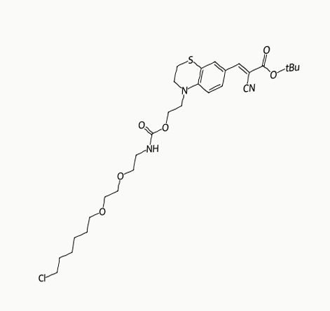 CC(C)(C)OC(=O)/C(C#N)=C/c1ccc2c(c1)SCCN2CCOC(=O)NCCOCCOCCCCCCCl